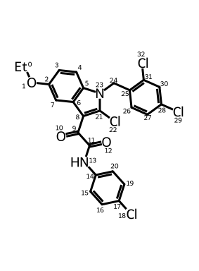 CCOc1ccc2c(c1)c(C(=O)C(=O)Nc1ccc(Cl)cc1)c(Cl)n2Cc1ccc(Cl)cc1Cl